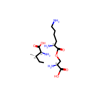 CC[C@H](C)[C@H](N)C(=O)O.NCCCC[C@H](N)C(=O)OC[C@H](N)C(=O)O